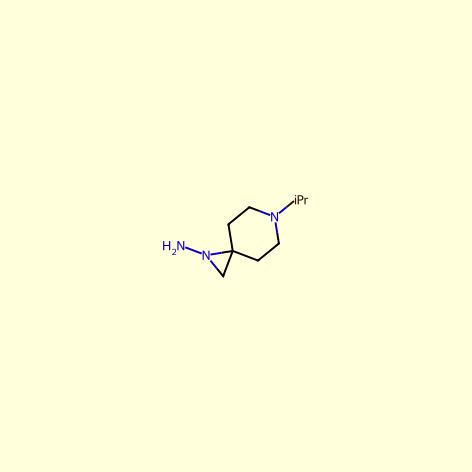 CC(C)N1CCC2(CC1)CN2N